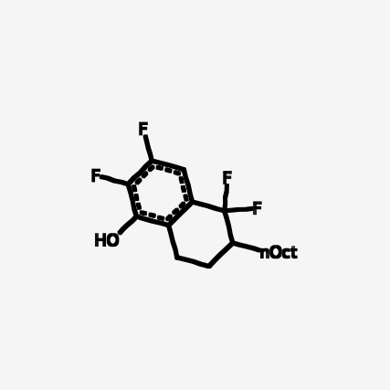 CCCCCCCCC1CCc2c(cc(F)c(F)c2O)C1(F)F